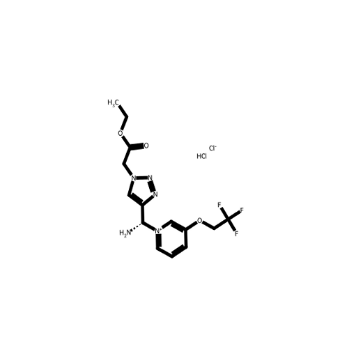 CCOC(=O)Cn1cc([C@@H](N)[n+]2cccc(OCC(F)(F)F)c2)nn1.Cl.[Cl-]